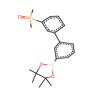 CC1(C)OB(c2cccc(-c3cccc(P(C)(C)=O)c3)c2)OC1(C)C